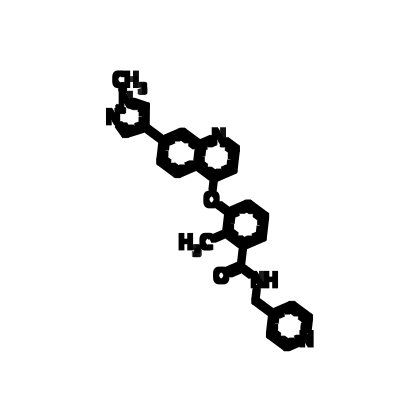 Cc1c(Oc2ccnc3cc(-c4cnn(C)c4)ccc23)cccc1C(=O)NCc1ccncc1